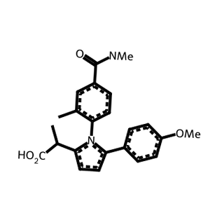 CNC(=O)c1ccc(-n2c(-c3ccc(OC)cc3)ccc2C(C)C(=O)O)c(C)c1